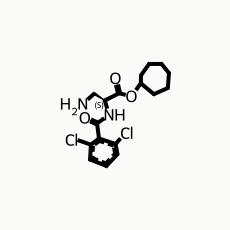 NC[C@H](NC(=O)c1c(Cl)cccc1Cl)C(=O)OC1CCCCCC1